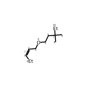 CC/C=C\COCCC(C)(C)CC